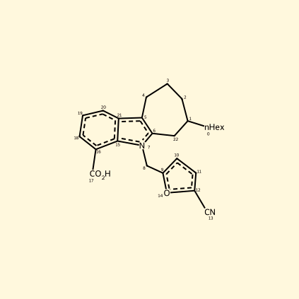 CCCCCCC1CCCc2c(n(Cc3ccc(C#N)o3)c3c(C(=O)O)cccc23)C1